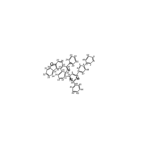 c1ccc(-c2ccc(-c3cc(-c4cccc5c4nc(-c4ccccc4)c4ccc6oc7ccccc7c6c45)nc(-c4ccccc4)n3)cc2)cc1